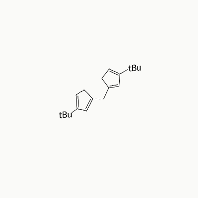 CC(C)(C)C1=CCC(CC2=CC(C(C)(C)C)=CC2)=C1